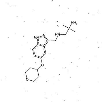 CC(C)(N)CNCc1n[nH]c2ccc(OC3CCOCC3)cc12